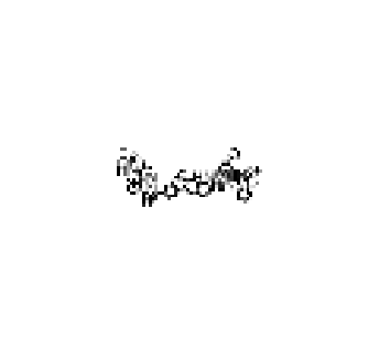 COC[C@H]1C[C@@H](c2nc3ccc4cc5c(cc4c3[nH]2)OCc2cc(-c3cnc(C4CCC(C)N4C(=O)[C@@H](NC(=O)O)C(C)C)[nH]3)ccc2-5)N(C(=O)[C@H](NC(=O)OC)c2ccccc2)C1